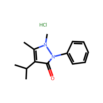 Cc1c(C(C)C)c(=O)n(-c2ccccc2)n1C.Cl